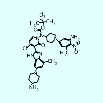 Cc1cc(N2CCC(N(C(=O)OC(C)(C)C)n3ccc(Cl)c(-c4nc5c(C)cc(N6CCC(N)CC6)cc5[nH]4)c3=O)CC2)cc(N)c1[N+](=O)[O-]